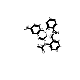 C=CC[C@H](Nc1ccccc1Oc1ccc(Cl)cc1)c1ccccc1NC(C)=O